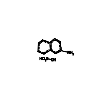 Nc1ccc2ccccc2c1.O=S(=O)(O)O